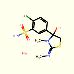 Br.CN=C1SCC(O)(c2ccc(Cl)c(S(N)(=O)=O)c2)N1C